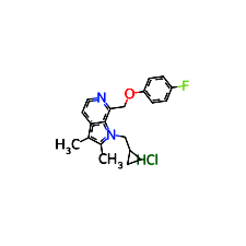 Cc1c(C)n(CC2CC2)c2c(COc3ccc(F)cc3)nccc12.Cl